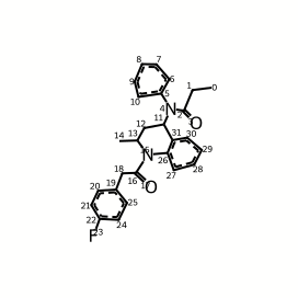 CCC(=O)N(c1ccccc1)C1CC(C)N(C(=O)Cc2ccc(F)cc2)c2ccccc21